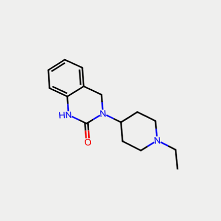 CCN1CCC(N2Cc3ccccc3NC2=O)CC1